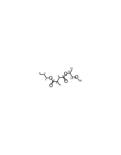 CCCOC(=O)C(C)CC(=O)OC(C)COC